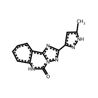 Cc1cc(-c2nc3c4ccccc4[nH]c(=O)n3n2)n[nH]1